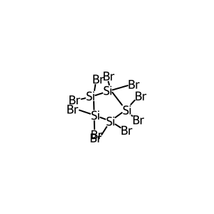 Br[Si]1(Br)[Si](Br)(Br)[Si](Br)(Br)[Si](Br)(Br)[Si]1(Br)Br